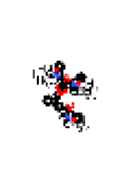 CCN(CC)C(CC)(Cc1ccccc1)C(=O)c1ccc(CC2(Cc3ccc(C(=O)C(CC)(Cc4ccccc4)N(CC)CC)cc3)c3ccccc3-c3ccc(C(=O)C(CC)(Cc4ccccc4)N(CC)CC)cc32)cc1